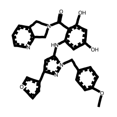 COc1ccc(Cn2nc(-c3ccoc3)cc2Nc2cc(O)cc(O)c2C(=O)N2Cc3cccnc3C2)cc1